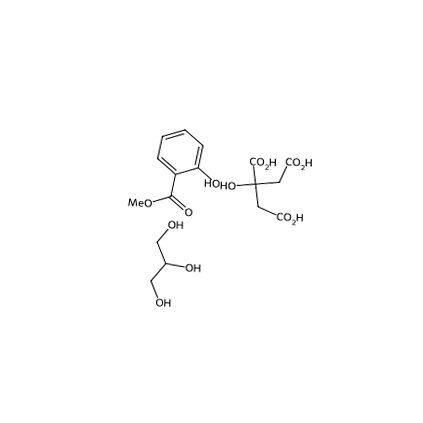 COC(=O)c1ccccc1O.O=C(O)CC(O)(CC(=O)O)C(=O)O.OCC(O)CO